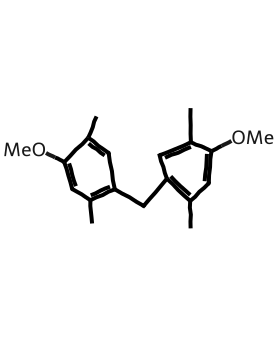 COc1cc(C)c(Cc2cc(C)c(OC)cc2C)cc1C